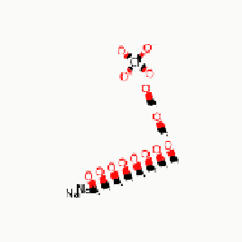 [C]=O.[C]=O.[C]=O.[C]=O.[C]=O.[C]=O.[C]=O.[C]=O.[C]=O.[C]=O.[Na+].[Na+].[O]=[Cr](=[O])([O-])[O-]